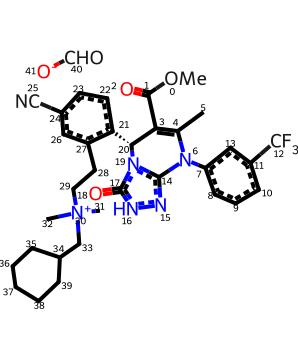 COC(=O)C1=C(C)N(c2cccc(C(F)(F)F)c2)c2n[nH]c(=O)n2[C@@H]1c1ccc(C#N)cc1CC[N+](C)(C)CC1CCCCC1.O=C[O-]